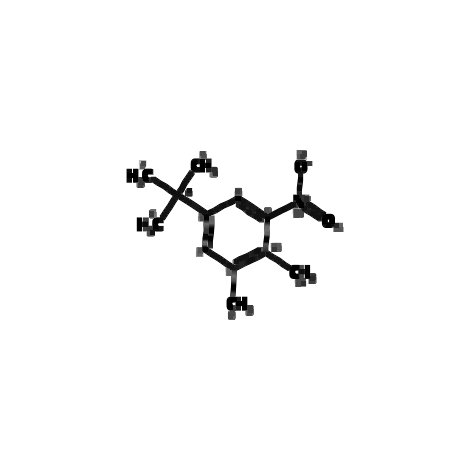 Cc1cc(C(C)(C)C)cc([N+](=O)[O-])c1C